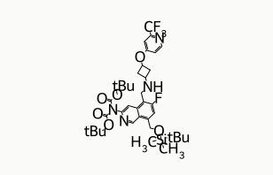 CC(C)(C)OC(=O)N(C(=O)OC(C)(C)C)c1cc2c(CNC3CC(Oc4ccnc(C(F)(F)F)c4)C3)c(F)cc(CO[Si](C)(C)C(C)(C)C)c2cn1